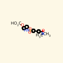 CN(C)C(=O)c1ccc(-c2ccc(S(=O)(=O)N[C@@H]3CCCc4c(OCC(=O)O)cccc43)cc2)cc1